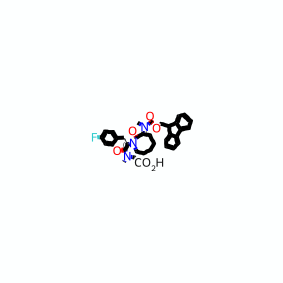 CN(CC(=O)O)C(=O)[C@H](Cc1ccc(F)cc1)N1CCCCC[C@H](N(C)C(=O)OCC2c3ccccc3-c3ccccc32)C1=O